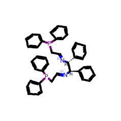 C(/CP(c1ccccc1)c1ccccc1)=N\[C@H](c1ccccc1)[C@H](/N=C/CP(c1ccccc1)c1ccccc1)c1ccccc1